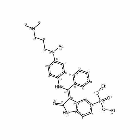 CCOP(=O)(OCC)c1ccc2c(c1)/C(=C(/Nc1ccc(N(CCCN(C)C)C(C)=O)cc1)c1ccccc1)C(=O)N2